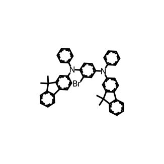 CC1(C)c2ccccc2-c2ccc(N(c3ccccc3)c3ccc(N(c4ccccc4)c4ccc5c(c4)C(C)(C)c4ccccc4-5)c(Br)c3)cc21